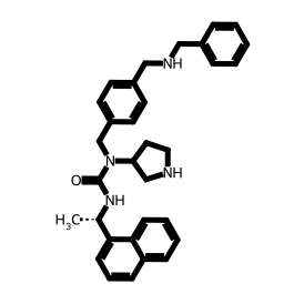 C[C@H](NC(=O)N(Cc1ccc(CNCc2ccccc2)cc1)C1CCNC1)c1cccc2ccccc12